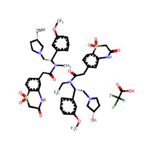 CO[C@H]1CCN(C[C@H](c2cccc(OC(F)(F)F)c2)N(C)C(=O)Cc2ccc3c(c2)NC(=O)CS3(=O)=O)C1.O=C(O)C(F)(F)F.O=C1CS(=O)(=O)c2ccc(CC(=O)N(CC(F)(F)F)[C@H](CN3CC[C@H](O)C3)c3cccc(OC(F)(F)F)c3)cc2N1